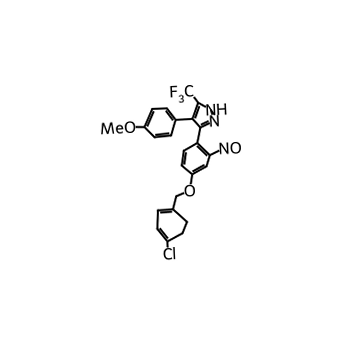 COc1ccc(-c2c(-c3ccc(OCC4=CC=C(Cl)CC4)cc3N=O)n[nH]c2C(F)(F)F)cc1